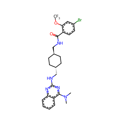 CN(C)c1nc(NC[C@H]2CC[C@H](CNC(=O)c3ccc(Br)cc3OC(F)(F)F)CC2)nc2ccccc12